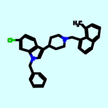 Cc1cccc2cccc(CN3CCC(c4cn(Cc5ccccc5)c5cc(Cl)ccc45)CC3)c12